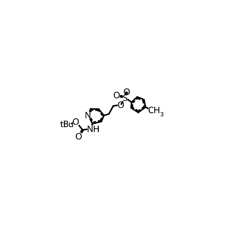 Cc1ccc(S(=O)(=O)OCCc2ccnc(NC(=O)OC(C)(C)C)c2)cc1